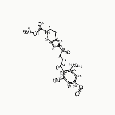 CC(C)(C)OC(=O)N1CCc2sc(C(=O)CCC(=O)c3c(C(C)(C)C)[c]c(O[O])cc3C(C)(C)C)cc2C1